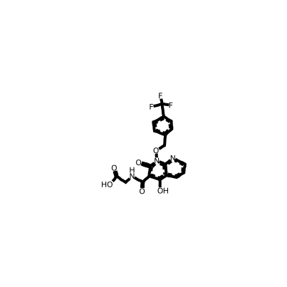 O=C(O)CNC(=O)c1c(O)c2cccnc2n(OCc2ccc(C(F)(F)F)cc2)c1=O